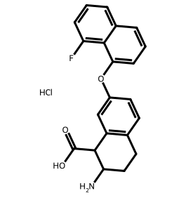 Cl.NC1CCc2ccc(Oc3cccc4cccc(F)c34)cc2C1C(=O)O